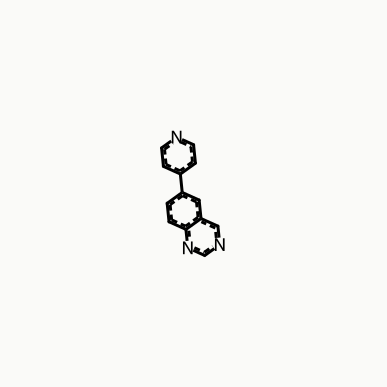 c1cc(-c2ccc3ncncc3c2)ccn1